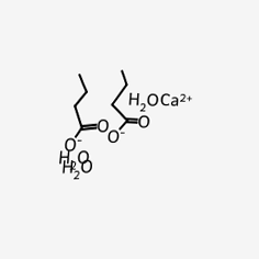 CCCC(=O)[O-].CCCC(=O)[O-].O.O.O.[Ca+2]